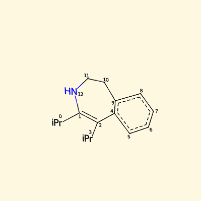 CC(C)C1=C(C(C)C)c2ccccc2CCN1